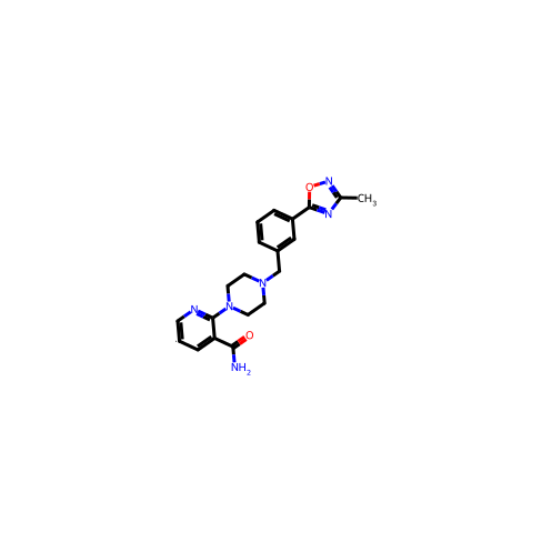 Cc1noc(-c2cccc(CN3CCN(c4nc[c]cc4C(N)=O)CC3)c2)n1